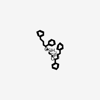 c1ccc(CCCC(O[SiH2]C[SiH2]OC(CCCc2ccccc2)c2ccccc2)c2ccccc2)cc1